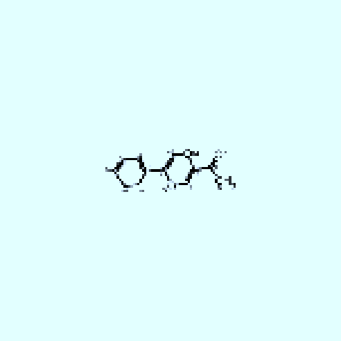 CC(=O)C1=COC(C2=CC=CCC2)=CO1